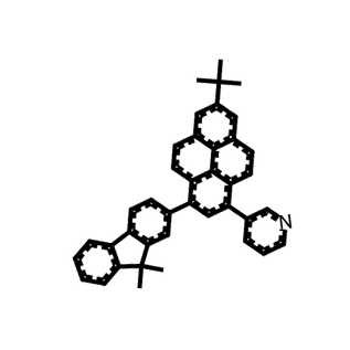 CC(C)(C)c1cc2ccc3c(-c4cccnc4)cc(-c4ccc5c(c4)C(C)(C)c4ccccc4-5)c4ccc(c1)c2c34